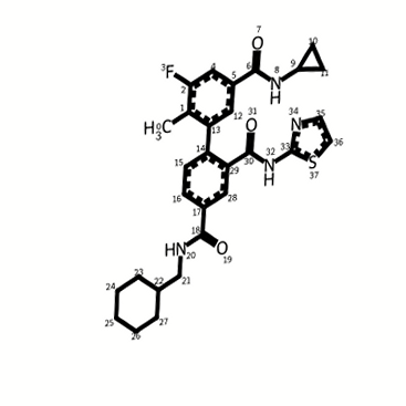 Cc1c(F)cc(C(=O)NC2CC2)cc1-c1ccc(C(=O)NCC2CCCCC2)cc1C(=O)Nc1nccs1